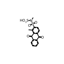 Cc1c(S(=O)(=O)N(C)S(=O)(=O)O)ccc2c1C(=O)c1ccccc1C2=O